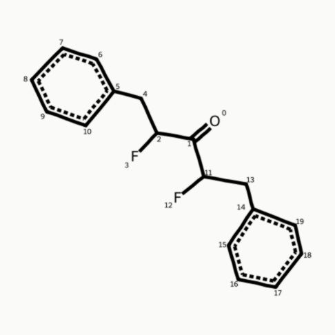 O=C(C(F)Cc1ccccc1)C(F)Cc1ccccc1